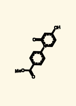 COC(=O)c1ccc(-n2ccc(O)cc2=O)cc1